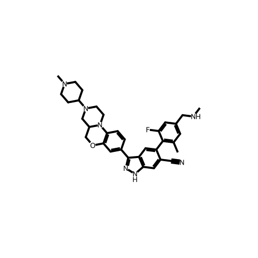 CNCc1cc(C)c(-c2cc3c(-c4ccc5c(c4)OCC4CN(C6CCN(C)CC6)CCN54)n[nH]c3cc2C#N)c(F)c1